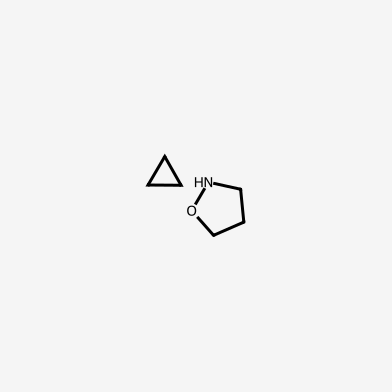 C1CC1.C1CNOC1